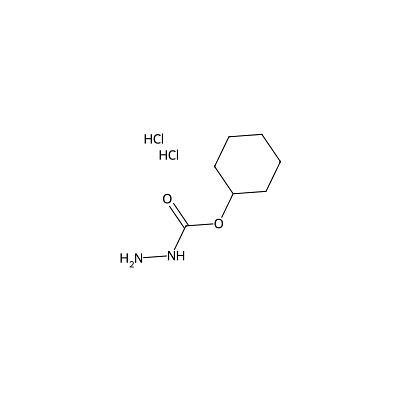 Cl.Cl.NNC(=O)OC1CCCCC1